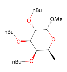 CCCCO[C@H]1[C@H](OCCCC)[C@H](OC)O[C@@H](C)[C@H]1OCCCC